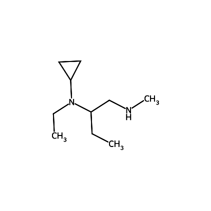 CCC(CNC)N(CC)C1CC1